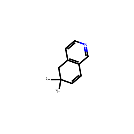 [2H]C1([2H])C=Cc2cnccc2C1